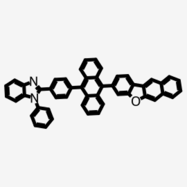 c1ccc(-n2c(-c3ccc(-c4c5ccccc5c(-c5ccc6c(c5)oc5cc7ccccc7cc56)c5ccccc45)cc3)nc3ccccc32)cc1